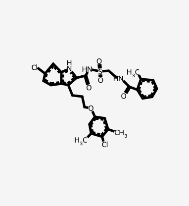 Cc1ccccc1C(=O)NCCS(=O)(=O)NC(=O)c1[nH]c2cc(Cl)ccc2c1CCCOc1cc(C)c(Cl)c(C)c1